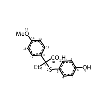 CCC(Sc1ccc(O)cc1)(C(=O)O)c1ccc(OC)cc1